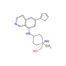 CS1(=N)(CO)CCC(Nc2cc(C3=CC=CC3)cc3ccncc23)CC1